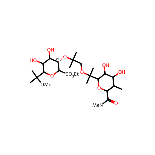 CCOC(=O)C1OC(C(C)(C)OC)C(O)C(O)[C@@H]1OC(C)(C)COC(C)(C)C1OC(C(=O)NC)C(C)C(O)C1O